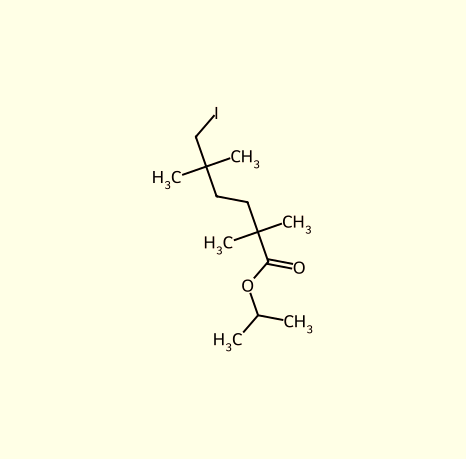 CC(C)OC(=O)C(C)(C)CCC(C)(C)CI